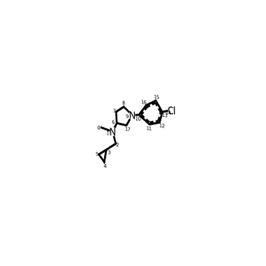 CN(CC1CC1)C1CCN(c2ccc(Cl)cc2)C1